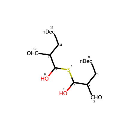 CCCCCCCCCCCC(C=O)C(O)SC(O)C(C=O)CCCCCCCCCCC